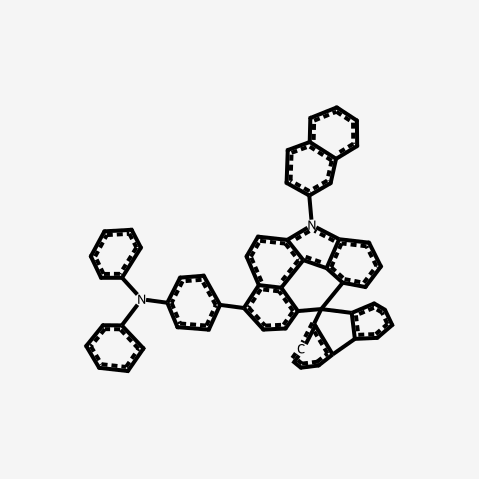 c1ccc(N(c2ccccc2)c2ccc(-c3ccc4c5c3ccc3c5c5c(cccc5n3-c3ccc5ccccc5c3)C43c4ccccc4-c4ccccc43)cc2)cc1